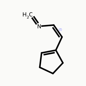 C=N/C=C\C1=CCCC1